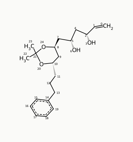 C=C[C@H](O)C[C@H](O)C[C@H]1C[C@H](CCCc2ccccc2)OC(C)(C)O1